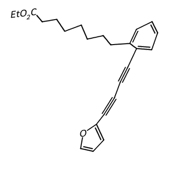 CCOC(=O)CCCCCCCc1ccccc1C#CC#Cc1ccco1